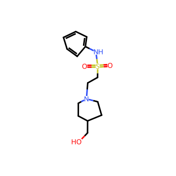 O=S(=O)(CCN1CCC(CO)CC1)Nc1ccccc1